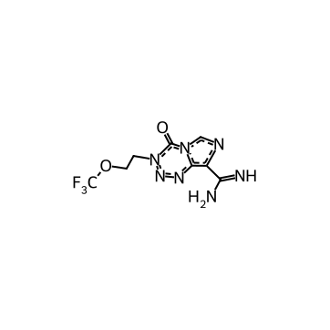 N=C(N)c1ncn2c(=O)n(CCOC(F)(F)F)nnc12